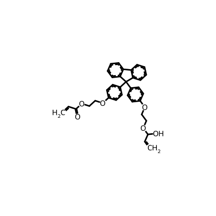 C=CC(=O)OCCOc1ccc(C2(c3ccc(OCCOC(O)C=C)cc3)c3ccccc3-c3ccccc32)cc1